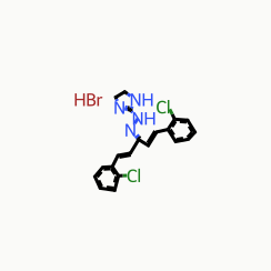 Br.Clc1ccccc1C=CC(C=Cc1ccccc1Cl)=NNC1=NCCN1